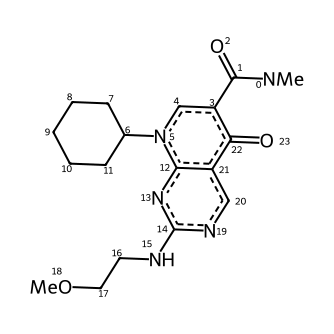 CNC(=O)c1cn(C2CCCCC2)c2nc(NCCOC)ncc2c1=O